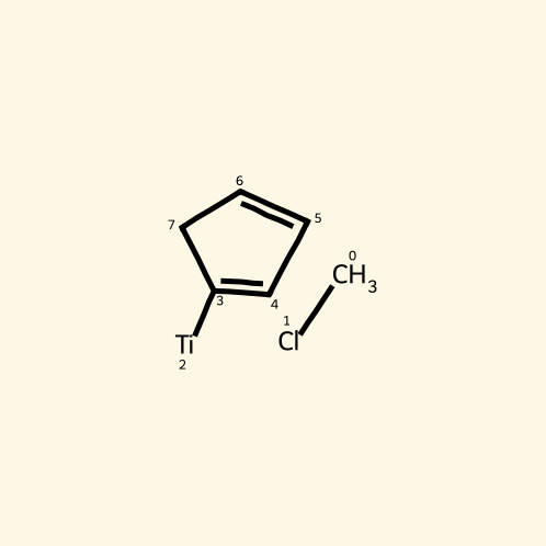 CCl.[Ti][C]1=CC=CC1